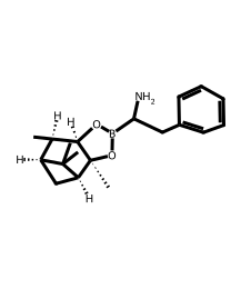 C[C@H]1[C@H]2OB(C(N)Cc3ccccc3)O[C@@]2(C)[C@H]2C[C@@H]1C2(C)C